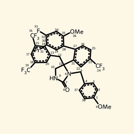 COc1ccc(CN2C(=O)NCC2(Cc2cc(C(F)(F)F)cc(C(F)(F)F)c2)c2cc(C(F)(F)F)ccc2-c2cc(C(C)C)c(F)cc2OC)cc1